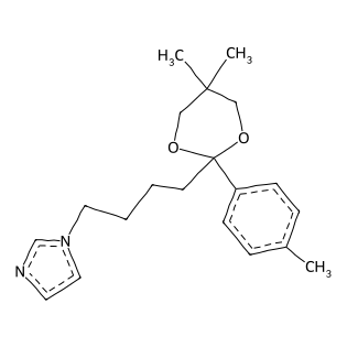 Cc1ccc(C2(CCCCn3ccnc3)OCC(C)(C)CO2)cc1